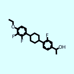 CCOc1ccc(C2CCC(c3ccc(C(C)O)cc3F)CC2)c(F)c1F